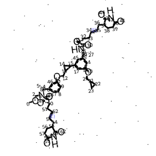 COCN([C@H](C)c1cccc(OCC2CC2c2cc(OCC3CC3)cc([C@@H](C)NS(=O)(=O)CC/C=C/CC3CCC(=O)NC3=O)c2)c1)S(=O)(=O)CC/C=C/CC1CCC(=O)NC1=O